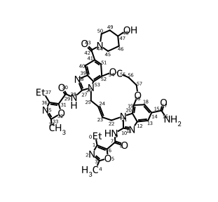 CCc1nc(C)oc1C(=O)Nc1nc2cc(C(N)=O)cc3c2n1C/C=C/Cn1c(NC(=O)c2oc(C)nc2CC)nc2cc(C(=O)N4CCC(O)CC4)cc(c21)OCCCO3